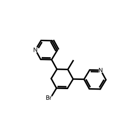 CC1C(c2cccnc2)C=C(Br)CC1c1c#ccnc1